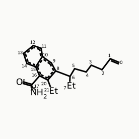 C=CCCCCC(CC)c1cc2ccccc2c(C(N)=O)c1CC